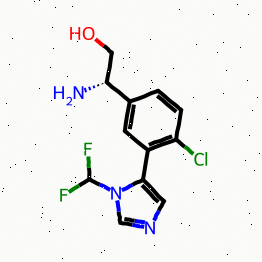 N[C@H](CO)c1ccc(Cl)c(-c2cncn2C(F)F)c1